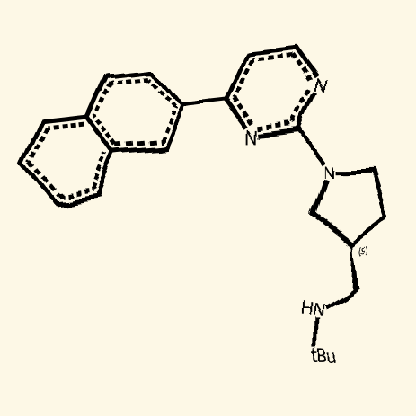 CC(C)(C)NC[C@@H]1CCN(c2nccc(-c3ccc4ccccc4c3)n2)C1